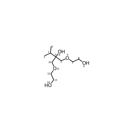 CC(C)C(O)(COCCO)COCCO